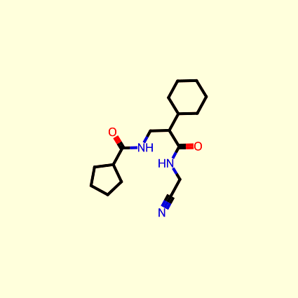 N#CCNC(=O)C(CNC(=O)C1CCCC1)C1CCCCC1